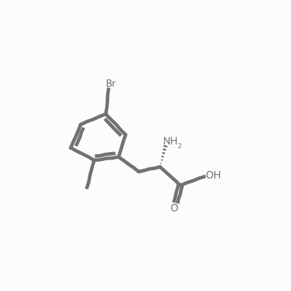 Cc1ccc(Br)cc1C[C@H](N)C(=O)O